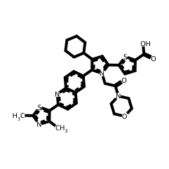 Cc1nc(C)c(-c2ccc3cc(-c4c(C5CCCCC5)cc(-c5ccc(C(=O)O)s5)n4CC(=O)N4CCOCC4)ccc3n2)s1